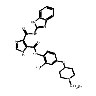 CCOC(=O)N1CCC(Oc2ccc(NC(=O)c3[nH]cnc3C(=O)Nc3nc4ccccc4[nH]3)c(C)c2)CC1